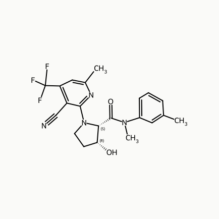 Cc1cccc(N(C)C(=O)[C@@H]2[C@H](O)CCN2c2nc(C)cc(C(F)(F)F)c2C#N)c1